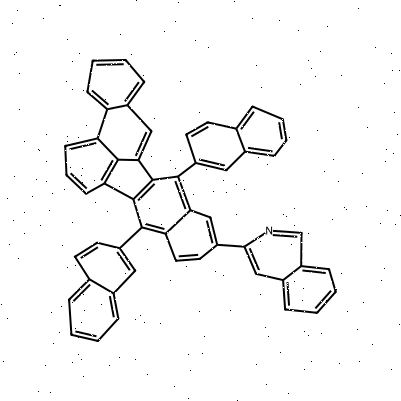 c1ccc2cc(-c3c4c(c(-c5ccc6ccccc6c5)c5cc(-c6cc7ccccc7cn6)ccc35)-c3cc5ccccc5c5cccc-4c35)ccc2c1